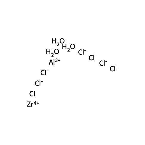 O.O.O.[Al+3].[Cl-].[Cl-].[Cl-].[Cl-].[Cl-].[Cl-].[Cl-].[Zr+4]